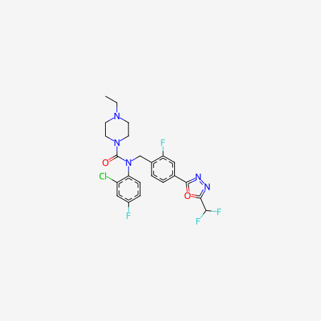 CCN1CCN(C(=O)N(Cc2ccc(-c3nnc(C(F)F)o3)cc2F)c2ccc(F)cc2Cl)CC1